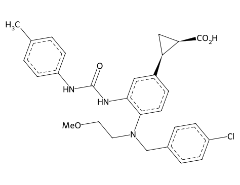 COCCN(Cc1ccc(Cl)cc1)c1ccc([C@H]2C[C@H]2C(=O)O)cc1NC(=O)Nc1ccc(C)cc1